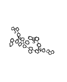 c1ccc(C2(c3cccc(-c4ccc(-c5cccc(N(c6ccc(-c7ccc8c(ccc9ccccc98)c7)cc6)c6ccc(-c7cccc8c7sc7ccccc78)cc6)c5)c5ccccc45)c3)c3ccccc3-c3c(N(c4ccc(-c5cccc6c5sc5ccccc56)cc4)c4cccc(-c5cccc6ccccc56)c4)cccc32)cc1